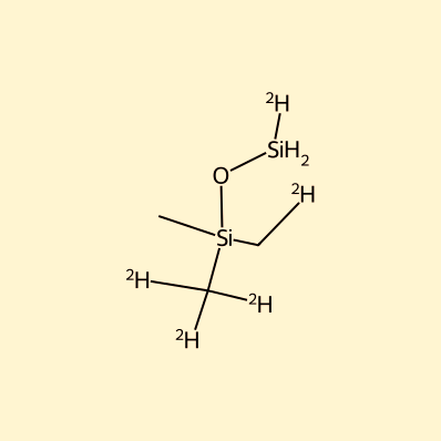 [2H]C[Si](C)(O[SiH2][2H])C([2H])([2H])[2H]